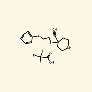 C#CC1(OCCOc2ccccc2)CCNCC1.O=C(O)C(F)(F)F